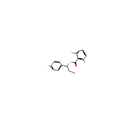 CC(C)(C)c1ccc(C(CCO)NC(=O)c2c(F)cccc2F)cc1